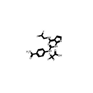 NC(=O)c1ccc(Nc2nc(NCC(F)F)c3ccnc-3[nH]2)cc1.O=C(O)C(F)(F)F